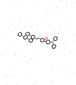 C(=C\c1ccc2c(c1)oc1cc(N(c3ccccc3)c3ccccc3)ccc12)/c1ccc(-c2cccc3c(-c4ccccc4)ccc(-c4ccccc4)c23)cc1